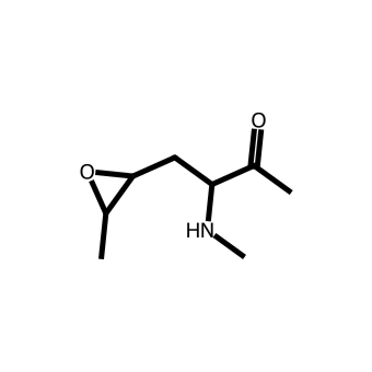 CNC(CC1OC1C)C(C)=O